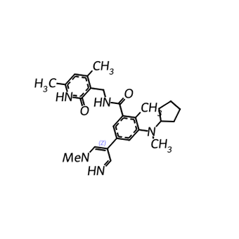 CN/C=C(\C=N)c1cc(C(=O)NCc2c(C)cc(C)[nH]c2=O)c(C)c(N(C)C2CCCC2)c1